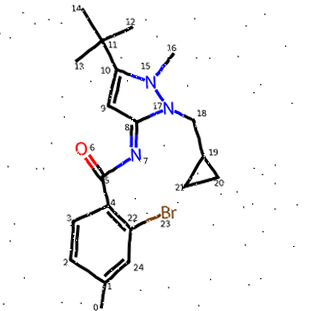 Cc1ccc(C(=O)/N=c2\cc(C(C)(C)C)n(C)n2CC2CC2)c(Br)c1